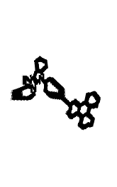 c1ccc2c(c1)c1ccccc1c1cc(-c3ccc(-n4c5ccccc5c5nc6ccccn6c54)cc3)ccc21